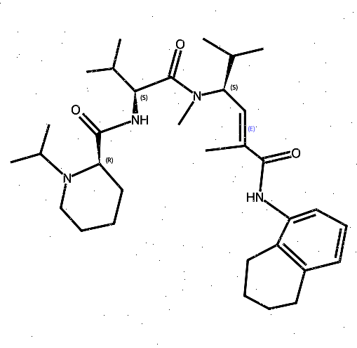 C/C(=C\[C@H](C(C)C)N(C)C(=O)[C@@H](NC(=O)[C@H]1CCCCN1C(C)C)C(C)C)C(=O)Nc1cccc2c1CCCC2